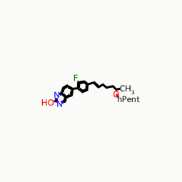 CCCCCOC(C)CCCC=Cc1ccc(-c2ccc3nc(O)ncc3c2)c(F)c1